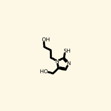 OCCCn1c(CO)cnc1S